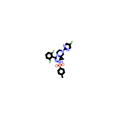 Cc1ccc(S(=O)(=O)N/N=C(/c2c(F)cccc2F)N2CCN(c3ncc(F)cn3)CC23CC3)cc1